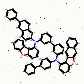 c1ccc(-c2ccc(N(c3cccc(-c4cccc(N(c5ccc6cc(-c7ccccc7)ccc6c5)c5cccc6oc7ccccc7c56)c4)c3)c3cccc4oc5cc6ccccc6cc5c34)cc2)cc1